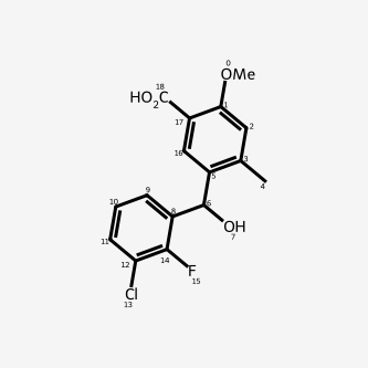 COc1cc(C)c(C(O)c2cccc(Cl)c2F)cc1C(=O)O